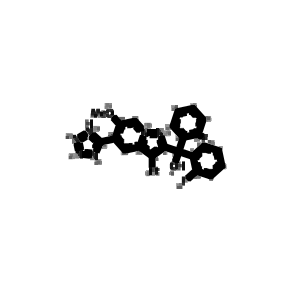 CCc1c(C(O)(c2ccccc2F)c2ccccc2F)nn2cc(OC)c(-c3nnn[nH]3)cc12